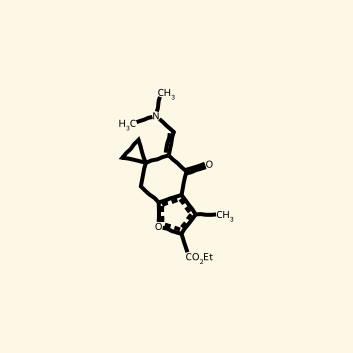 CCOC(=O)c1oc2c(c1C)C(=O)/C(=C/N(C)C)C1(CC1)C2